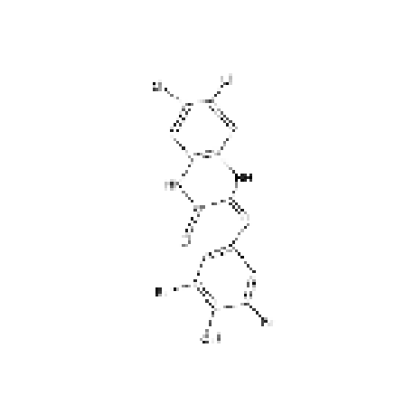 O=C1Nc2cc(Cl)c(Cl)cc2NC1=Cc1cc(Br)c(O)c(Br)c1